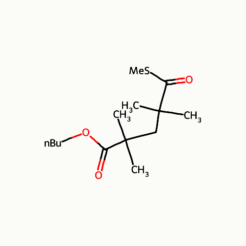 CCCCOC(=O)C(C)(C)CC(C)(C)C(=O)SC